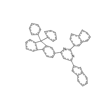 c1ccc(C2(c3ccccc3)c3ccccc3-c3ccc(-c4cc(-c5cc6ccccc6s5)nc(-c5ccc6ccccc6c5)n4)cc32)cc1